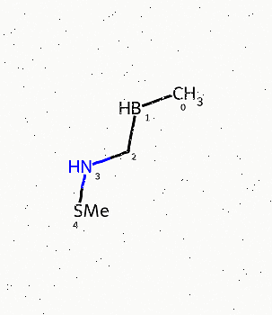 CBCNSC